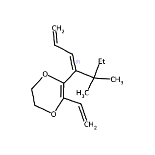 C=C/C=C(\C1=C(C=C)OCCO1)C(C)(C)CC